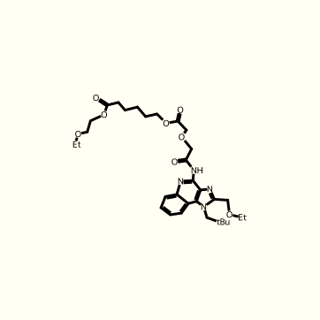 CCOCCOC(=O)CCCCCOC(=O)COCC(=O)Nc1nc2ccccc2c2c1nc(COCC)n2CC(C)(C)C